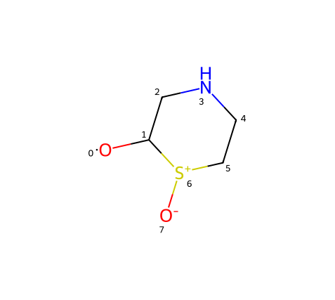 [O]C1CNCC[S+]1[O-]